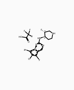 CC(C)c1c(Cl)c(F)c2cnc(N[C@@H]3CCNC[C@H]3F)nn12.O=C(O)C(F)(F)F